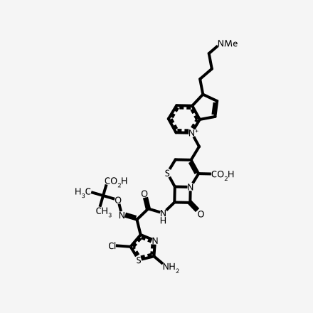 CNCCCC1C=Cc2c1ccc[n+]2CC1=C(C(=O)O)N2C(=O)C(NC(=O)/C(=N\OC(C)(C)C(=O)O)c3nc(N)sc3Cl)C2SC1